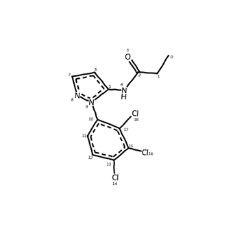 CCC(=O)Nc1ccnn1-c1ccc(Cl)c(Cl)c1Cl